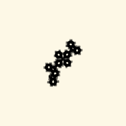 c1ccc([Si](c2ccccc2)(c2ccc(-n3c4ccccc4c4ccccc43)cc2)c2ccc(-n3c4ccccc4c4c5oc6ccccc6c5ccc43)cc2)cc1